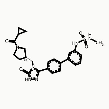 CNS(=O)(=O)Nc1cccc(-c2ccc(-c3n[nH]c(=O)n3C[C@@H]3CCN(C(=O)C4CC4)C3)cc2)c1